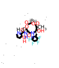 CCC(C)C1OC(=O)[C@H](C)[C@H](O)[C@H](Cc2cc(F)c(F)c(F)c2F)NC(=O)[C@@H](NC(=O)c2ncccc2O)[C@@H](C)OC1=O